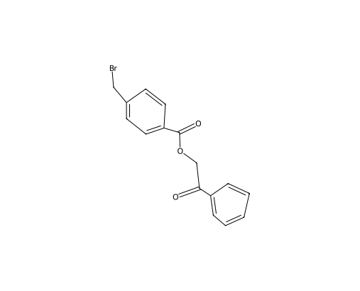 O=C(COC(=O)c1ccc(CBr)cc1)c1ccccc1